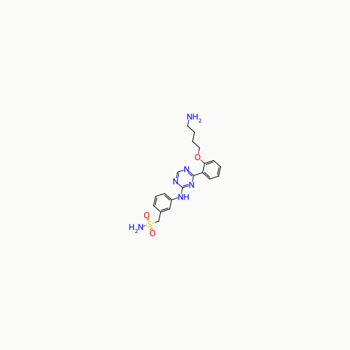 NCCCCOc1ccccc1-c1ncnc(Nc2cccc(CS(N)(=O)=O)c2)n1